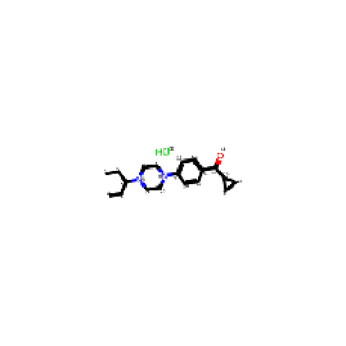 CCC(CC)N1CCN(c2ccc(C(=O)C3CC3)cc2)CC1.Cl